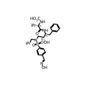 CC(C)CN(C[C@@H](O)[C@H](Cc1ccccc1)NC(=O)[C@@H](NC(=O)O)C(C)C)S(=O)(=O)c1ccc(C=NO)cc1